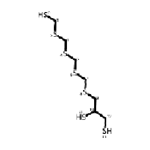 SCSCSCSCSCC(S)CS